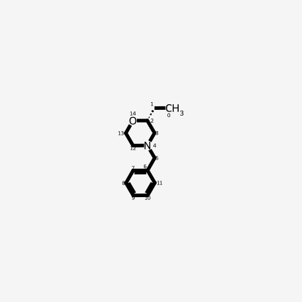 CC[C@@H]1CN(Cc2ccccc2)CCO1